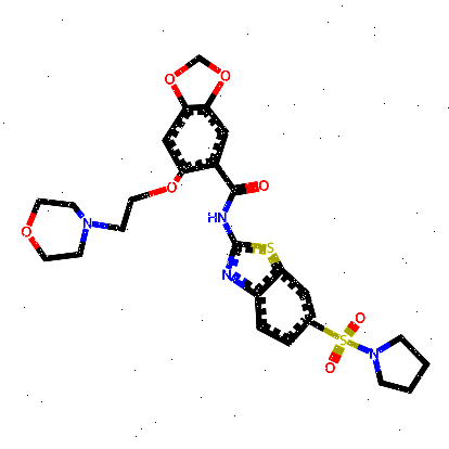 O=C(Nc1nc2ccc(S(=O)(=O)N3CCCC3)cc2s1)c1cc2c(cc1OCCN1CCOCC1)OCO2